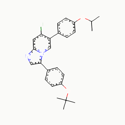 CC(C)Oc1ccc(-c2cn3c(-c4ccc(OC(C)(C)C)cc4)cnc3cc2Cl)cc1